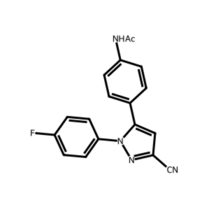 CC(=O)Nc1ccc(-c2cc(C#N)nn2-c2ccc(F)cc2)cc1